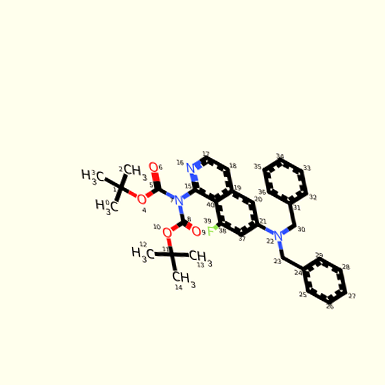 CC(C)(C)OC(=O)N(C(=O)OC(C)(C)C)c1nccc2cc(N(Cc3ccccc3)Cc3ccccc3)cc(F)c12